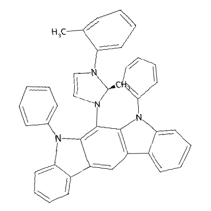 Cc1ccccc1N1C=CN(c2c3c(cc4c5ccccc5n(-c5ccccc5)c24)c2ccccc2n3-c2ccccc2)[C@@H]1C